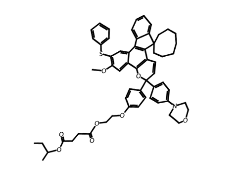 CCC(C)OC(=O)CCC(=O)OCCOc1ccc(C2(c3ccc(N4CCOCC4)cc3)C=Cc3c4c(c5cc(Sc6ccccc6)c(OC)cc5c3O2)-c2ccccc2C42CCCCCCC2)cc1